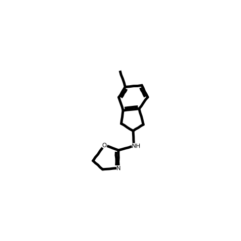 Cc1ccc2c(c1)CC(NC1=NCCO1)C2